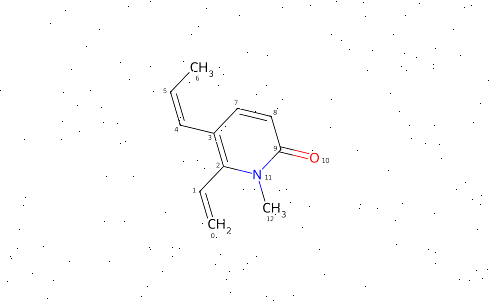 C=Cc1c(/C=C\C)ccc(=O)n1C